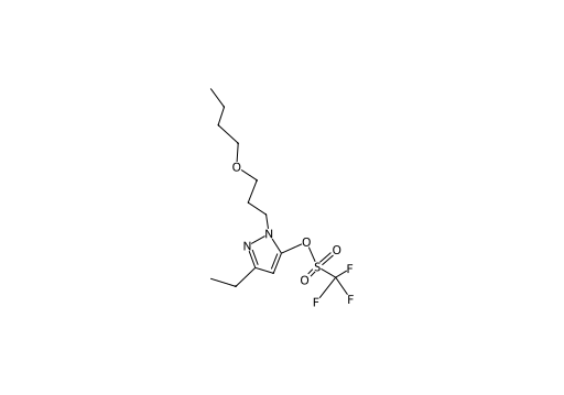 CCCCOCCCn1nc(CC)cc1OS(=O)(=O)C(F)(F)F